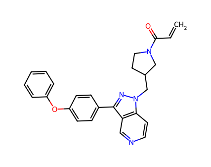 C=CC(=O)N1CCC(Cn2nc(-c3ccc(Oc4ccccc4)cc3)c3cnccc32)C1